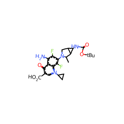 CC1C2C(CN1c1c(F)c(N)c3c(=O)c(C(=O)O)cn(C4CC4)c3c1F)C2NC(=O)OC(C)(C)C